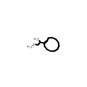 COCC(C)/C1=C\CCCCCCCCCC1